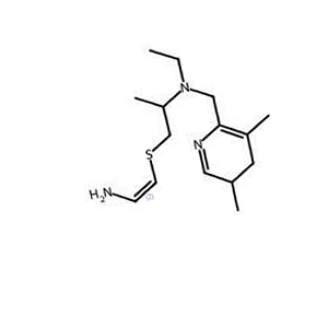 CCN(CC1=C(C)CC(C)C=N1)C(C)CS/C=C\N